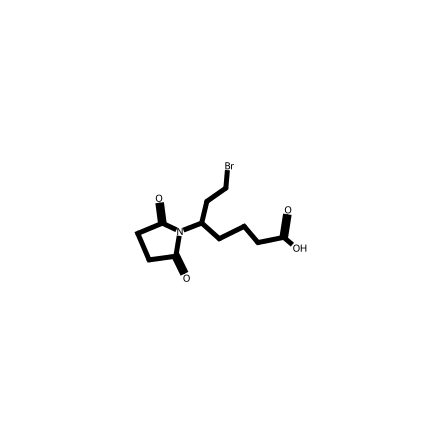 O=C(O)CCCC(CCBr)N1C(=O)CCC1=O